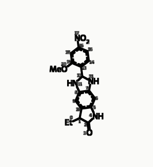 CCC1C(=O)Nc2cc3c(cc21)NC(c1ccc([N+](=O)[O-])cc1OC)N3